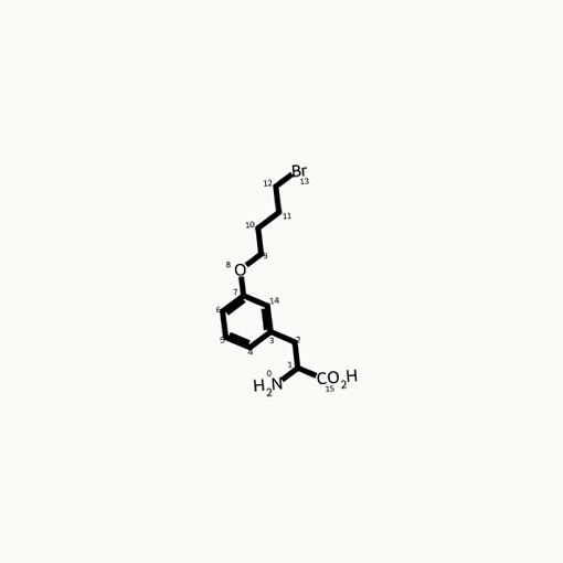 NC(Cc1cccc(OCCCCBr)c1)C(=O)O